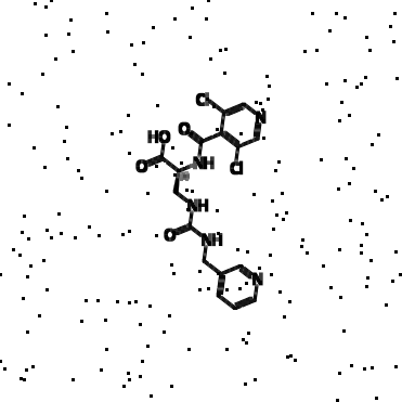 O=C(NCc1cccnc1)NC[C@H](NC(=O)c1c(Cl)cncc1Cl)C(=O)O